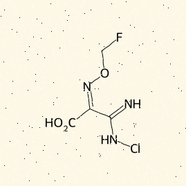 N=C(NCl)C(=NOCF)C(=O)O